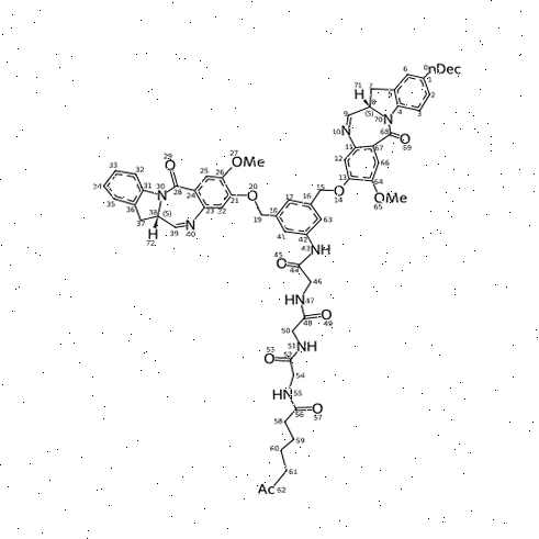 CCCCCCCCCCc1ccc2c(c1)C[C@H]1C=Nc3cc(OCc4cc(COc5cc6c(cc5OC)C(=O)N5c7ccccc7C[C@H]5C=N6)cc(NC(=O)CNC(=O)CNC(=O)CNC(=O)CCCCC(C)=O)c4)c(OC)cc3C(=O)N21